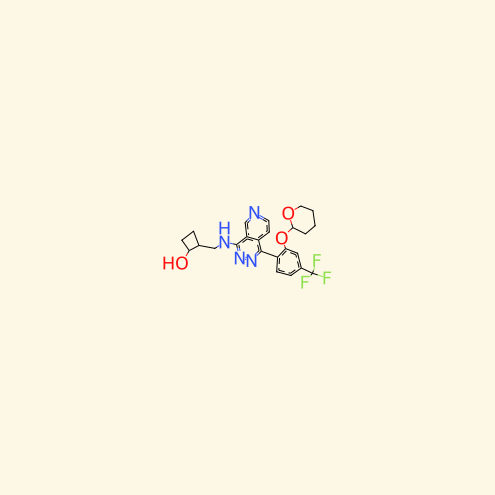 OC1CCC1CNc1nnc(-c2ccc(C(F)(F)F)cc2OC2CCCCO2)c2ccncc12